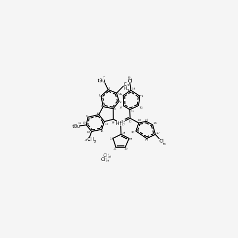 Cc1cc2c(cc1C(C)(C)C)-c1cc(C(C)(C)C)c(C)cc1[CH]2[Hf+2]([C]1=CC=CC1)=[C](c1ccc(Cl)cc1)c1ccc(Cl)cc1.[Cl-].[Cl-]